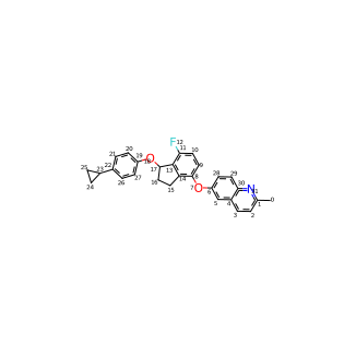 Cc1ccc2cc(Oc3ccc(F)c4c3CCC4Oc3ccc(C4CC4)cc3)ccc2n1